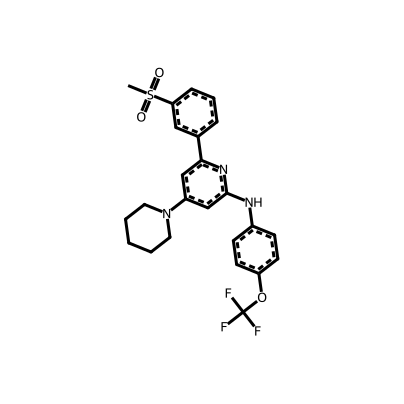 CS(=O)(=O)c1cccc(-c2cc(N3CCCCC3)cc(Nc3ccc(OC(F)(F)F)cc3)n2)c1